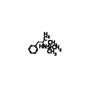 CC(Cc1ccccc1)N[Si](C)(C)C